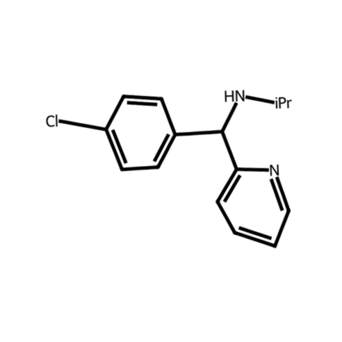 CC(C)NC(c1ccc(Cl)cc1)c1ccccn1